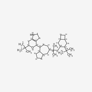 CC(C)(C)C1CC2=C(CCN2)C(C2CCC(C(C)(C)CC3CC4CCC4CC3C(C)(C)C)CC3CCCC32)O1